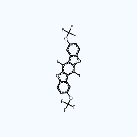 FC(F)(F)Oc1ccc2oc3c(I)c4c(oc5ccc(OC(F)(F)F)cc54)c(I)c3c2c1